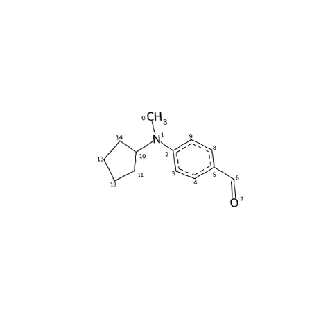 CN(c1ccc(C=O)cc1)C1CCCC1